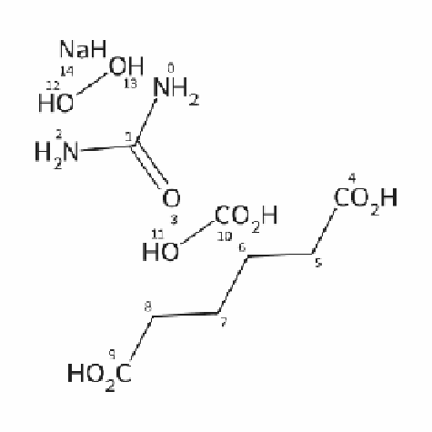 NC(N)=O.O=C(O)CCCCC(=O)O.O=C(O)O.OO.[NaH]